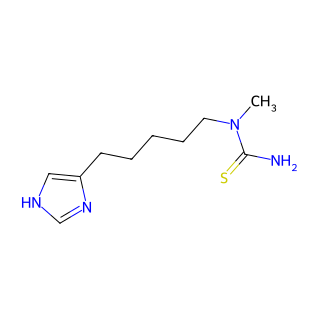 CN(CCCCCc1c[nH]cn1)C(N)=S